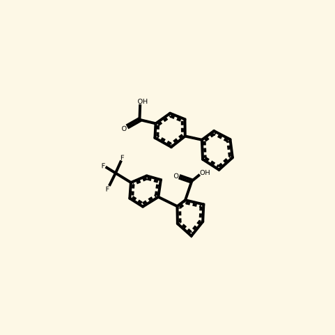 O=C(O)c1ccc(-c2ccccc2)cc1.O=C(O)c1ccccc1-c1ccc(C(F)(F)F)cc1